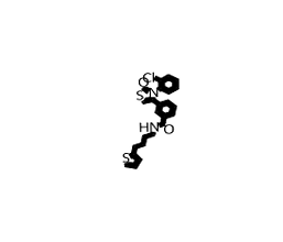 O=C(NCCCCc1cccs1)c1cccc(-c2csc(=O)n2-c2ccccc2Cl)c1